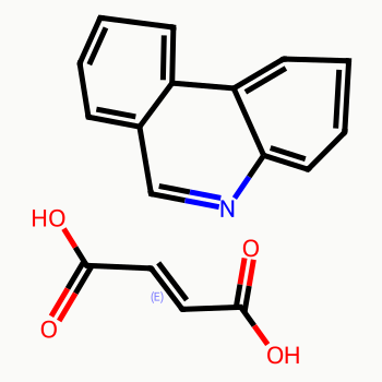 O=C(O)/C=C/C(=O)O.c1ccc2c(c1)cnc1ccccc12